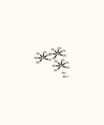 N#[C][Mn-]([C]#N)([C]#N)([C]#N)([C]#N)[C]#N.N#[C][Mn-]([C]#N)([C]#N)([C]#N)([C]#N)[C]#N.N#[C][Mn-]([C]#N)([C]#N)([C]#N)([C]#N)[C]#N.[Mn+2].[Na+]